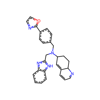 C1=CC2=CC(N(Cc3ccc(-c4ncco4)cc3)Cc3nc4ccccc4[nH]3)CCC2N=C1